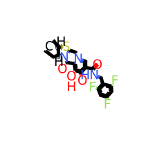 O=C(NCc1c(F)cc(F)cc1F)c1cn2c(c(O)c1=O)C(=O)N1C(C2)S[C@@H]2CCCC[C@@H]21